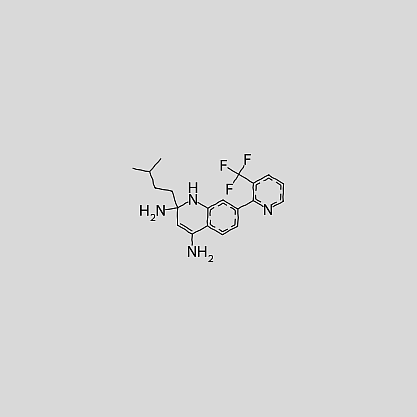 CC(C)CCC1(N)C=C(N)c2ccc(-c3ncccc3C(F)(F)F)cc2N1